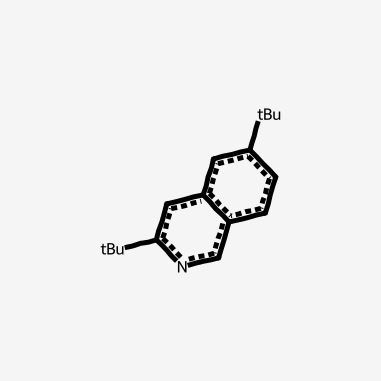 CC(C)(C)c1ccc2cnc(C(C)(C)C)cc2c1